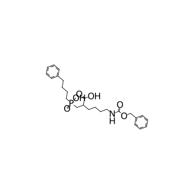 O=C(NCCCCC(CP(=O)(O)CCCCc1ccccc1)C(=O)O)OCc1ccccc1